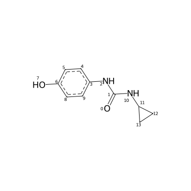 O=C(Nc1ccc(O)cc1)NC1CC1